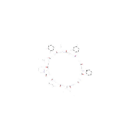 CCCC[C@@H]1NC(=O)[C@H](Cc2cccc(I)c2)NC(=O)CN(C)C(=O)[C@H](Cc2ccc(Cl)cc2)N(C)C(=O)CN(C)C(=O)CN(C)C(=O)[C@H]([C@@H](C)CC)NC(=O)[C@H](CC(C)C)N(C)C(=O)C[C@@H](C(=O)N2CCCCC2)N(C)C(=O)[C@H](CC(C)C)NC(=O)[C@H](Cc2ccccc2OC)N(C)C1=O